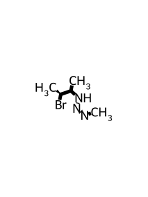 C/N=N\NC(C)[C@H](C)Br